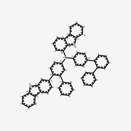 c1ccc(-c2ccccc2-c2ccc(N(c3ccc(-c4ccc5c(c4)oc4ccccc45)c(-c4ccccc4)c3)c3cccc4c3sc3ccccc34)cc2)cc1